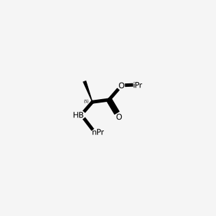 CCCB[C@@H](C)C(=O)OC(C)C